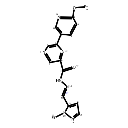 CCOc1ccc(-c2cncc(C(=O)N/N=C/c3ccnn3CC)n2)cn1